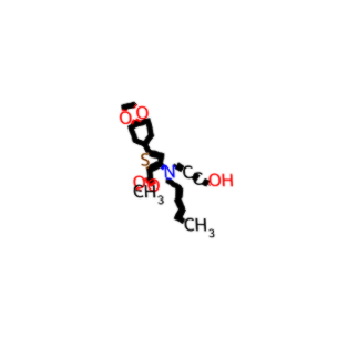 CC=C=C=CCN(C=C=C=CO)c1cc(C2CCC3(CC2)OCCO3)sc1C(=O)OC